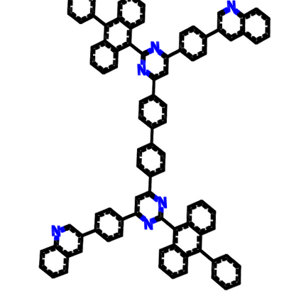 c1ccc(-c2c3ccccc3c(-c3nc(-c4ccc(-c5ccc(-c6cc(-c7ccc(-c8cnc9ccccc9c8)cc7)nc(-c7c8ccccc8c(-c8ccccc8)c8ccccc78)n6)cc5)cc4)cc(-c4ccc(-c5cnc6ccccc6c5)cc4)n3)c3ccccc23)cc1